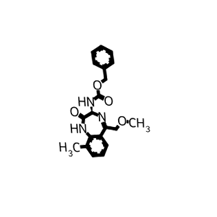 COCC1=N[C@H](NC(=O)OCc2ccccc2)C(=O)Nc2c(C)cccc21